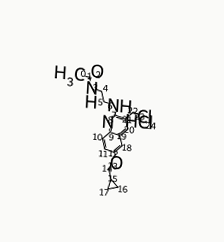 CC(=O)NCCNc1nc2ccc(OCC3CC3)cc2cc1CCl.Cl